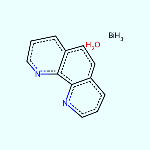 O.[BiH3].c1cnc2c(c1)ccc1cccnc12